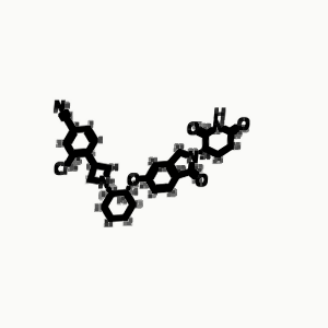 N#Cc1ccc(C2CN([C@@H]3CCCC[C@H]3Oc3ccc4c(c3)CN([C@H]3CCC(=O)NC3=O)C4=O)C2)c(Cl)c1